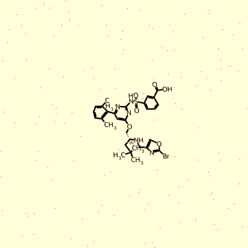 Cc1cccc(C)c1-c1cc(OC[C@@H](CC(C)(C)C)NCc2coc(Br)n2)nc(NS(=O)(=O)c2cccc(C(=O)O)c2)n1